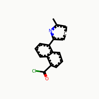 Cc1cccc(-c2cccc3c(C(=O)Cl)cccc23)n1